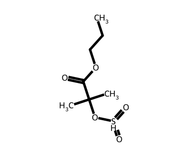 CCCOC(=O)C(C)(C)O[SH](=O)=O